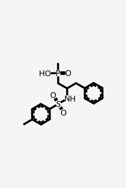 Cc1ccc(S(=O)(=O)NC(Cc2ccccc2)CP(C)(=O)O)cc1